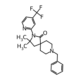 CC1(C)CC2(CCN(Cc3ccccc3)CC2)C(=O)N1c1cc(C(F)(F)F)ccn1